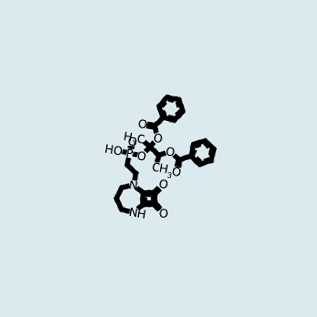 CC(OC(=O)c1ccccc1)C(C)(OC(=O)c1ccccc1)OP(=O)(O)CCN1CCCNc2c1c(=O)c2=O